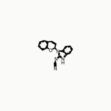 N#C/N=c1\[nH]c2ccccc2n1C1C=Cc2ccccc2O1